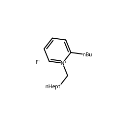 CCCCCCCC[n+]1ccccc1CCCC.[F-]